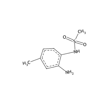 Cc1ccc(NS(C)(=O)=O)c(N)c1